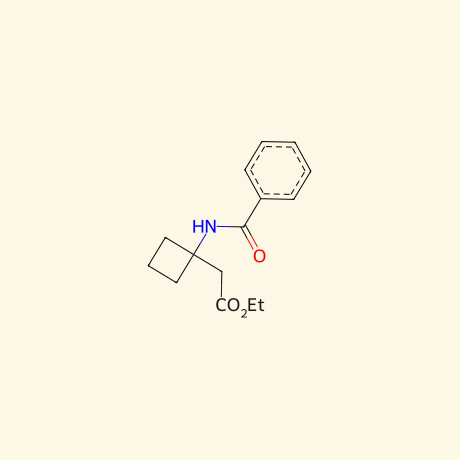 CCOC(=O)CC1(NC(=O)c2ccccc2)CCC1